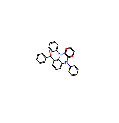 O=C(c1ccccc1)c1cccc(N(c2ccccc2)c2ccccc2)c1N(c1ccccc1)c1ccccc1